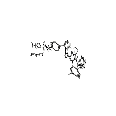 CCOCCN(C(=O)O)c1ccc(-c2cnc([C@@H]3CCc4nc(-c5cc(C)ccc5-n5cnnn5)cc(=O)n43)[nH]2)cc1